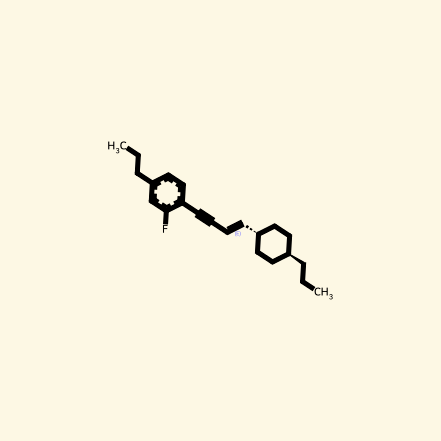 CCCc1ccc(C#C/C=C/[C@H]2CC[C@H](CCC)CC2)c(F)c1